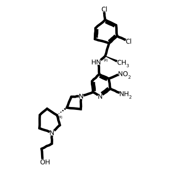 C[C@@H](Nc1cc(N2CC([C@H]3CCCN(CCO)C3)C2)nc(N)c1[N+](=O)[O-])c1ccc(Cl)cc1Cl